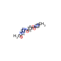 CC(=O)c1cn2cc(NC(=O)c3ccc(OC(=O)N4CCN(C)CC4)cc3)ccc2n1